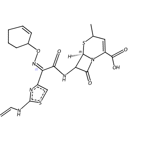 CC1C=C(C(=O)O)N2C(=O)C(NC(=O)/C(=N\OC3C=CCCC3)c3csc(NC=O)n3)[C@H]2S1